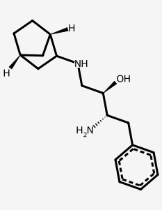 N[C@@H](Cc1ccccc1)[C@H](O)CNC1C[C@@H]2CC[C@H]1C2